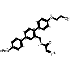 C=CC(=O)OCc1cc(-c2ccc(CCCCC)cc2)ccc1-c1ccc(OCCO)cc1